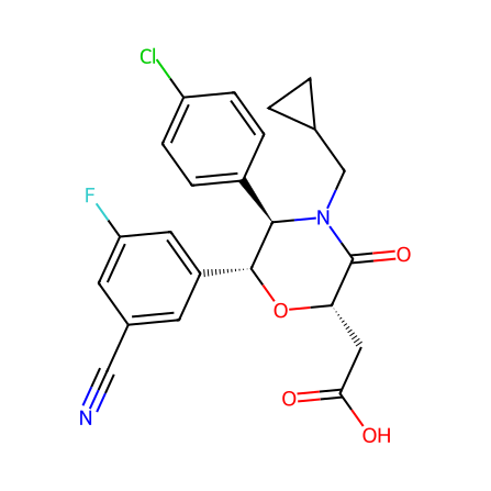 N#Cc1cc(F)cc([C@H]2O[C@@H](CC(=O)O)C(=O)N(CC3CC3)[C@@H]2c2ccc(Cl)cc2)c1